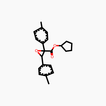 Cc1ccc(C2OC2(C(=O)OC2CCCC2)c2ccc(C)cc2)cc1